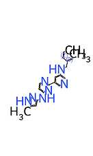 C/C=C\C(=C/C)CNc1cncc(-c2nccc(Nc3cc(C)[nH]n3)n2)c1